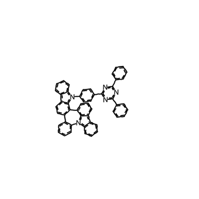 c1ccc(-c2nc(-c3ccccc3)nc(-c3ccc(-n4c5ccccc5c5ccc6c(c54)-c4cccc5c7ccccc7n(c45)-c4ccccc4-6)cc3)n2)cc1